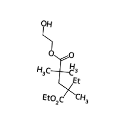 CCOC(=O)C(C)(CC)CC(C)(C)C(=O)OCCO